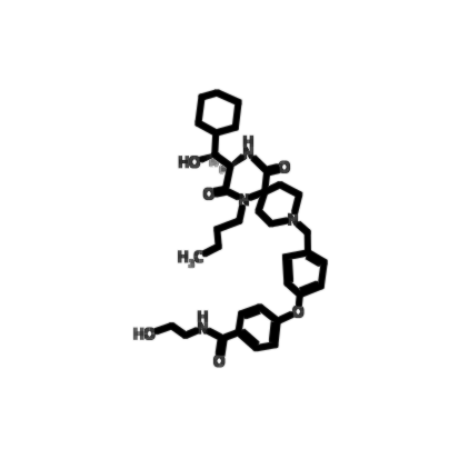 CCCCN1C(=O)[C@@H]([C@@H](O)C2CCCCC2)NC(=O)C12CCN(Cc1ccc(Oc3ccc(C(=O)NCCO)cc3)cc1)CC2